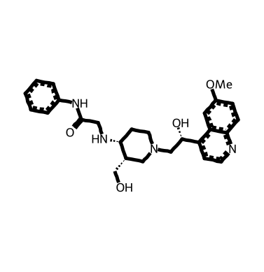 COc1ccc2nccc([C@@H](O)CN3CC[C@@H](NCC(=O)Nc4ccccc4)[C@@H](CO)C3)c2c1